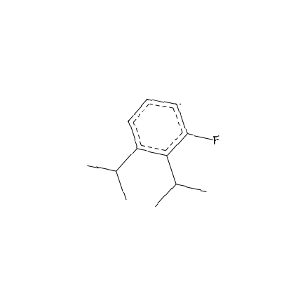 CC(C)c1cc[c]c(F)c1C(C)C